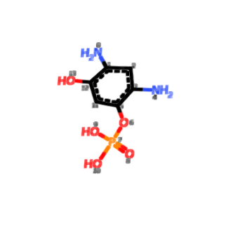 Nc1cc(N)c(OP(=O)(O)O)cc1O